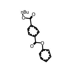 CCCCOC(=O)c1ccc(C(=O)Oc2ccccc2)cc1